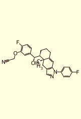 C[C@]12Cc3cnn(-c4ccc(F)cc4)c3C=C1CCC[C@@H]2[C@@H](O)c1ccc(F)c(OCC#N)c1